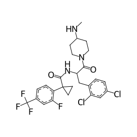 CNC1CCN(C(=O)C(Cc2ccc(Cl)cc2Cl)NC(=O)C2(c3ccc(C(F)(F)F)cc3F)CC2)CC1